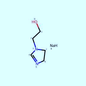 OCCN1C=NCC1.[NaH]